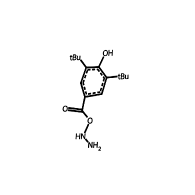 CC(C)(C)c1cc(C(=O)ONN)cc(C(C)(C)C)c1O